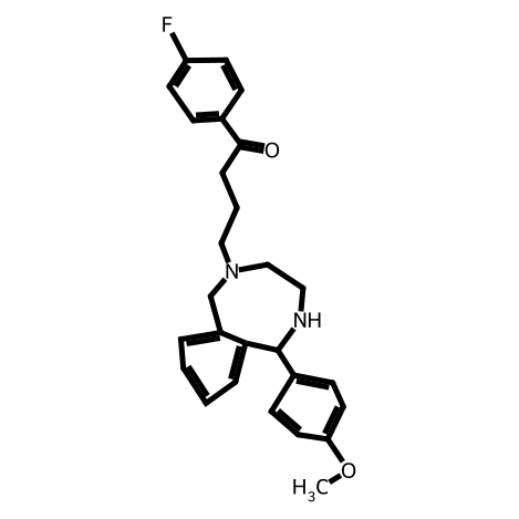 COc1ccc(C2NCCN(CCCC(=O)c3ccc(F)cc3)Cc3ccccc32)cc1